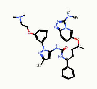 CC(C)N(c1nnc2ccc(O[C@@H](C)CC[C@H](NC(=O)Nc3cc(C(C)(C)C)nn3-c3cccc(OCCN(C)C)c3)c3ccccc3)cn12)C(C)C